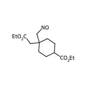 CCOC(=O)CC1(CN=O)CCC(C(=O)OCC)CC1